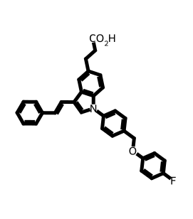 O=C(O)CCc1ccc2c(c1)c(C=Cc1ccccc1)cn2-c1ccc(COc2ccc(F)cc2)cc1